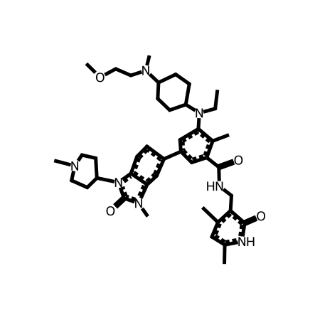 CCN(c1cc(-c2ccc3c(c2)n(C)c(=O)n3C2CCN(C)CC2)cc(C(=O)NCc2c(C)cc(C)[nH]c2=O)c1C)C1CCC(N(C)CCOC)CC1